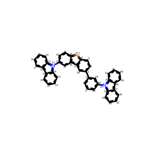 c1cc(-c2ccc3sc4ccc(-n5c6ccccc6c6ccccc65)cc4c3c2)cc(-n2c3ccccc3c3ccccc32)c1